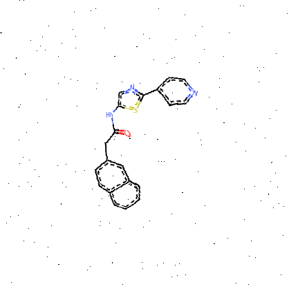 O=C(Cc1ccc2ccccc2c1)Nc1cnc(-c2ccncc2)s1